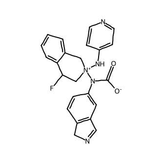 O=C([O-])N(c1ccc2c(c1)C=NC2)[N+]1(Nc2ccncc2)Cc2ccccc2C(F)C1